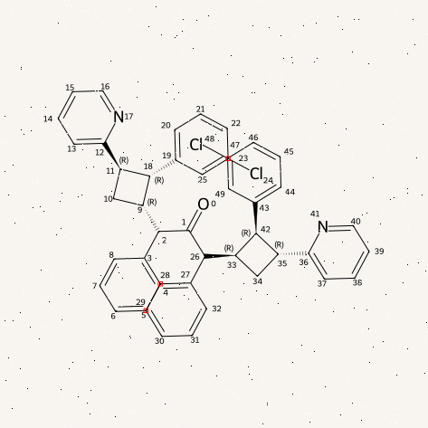 O=C(C(c1ccccc1)[C@@H]1C[C@@H](c2ccccn2)[C@@H]1c1cccc(Cl)c1)C(c1ccccc1)[C@@H]1C[C@@H](c2ccccn2)[C@@H]1c1cccc(Cl)c1